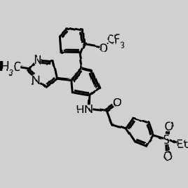 CCS(=O)(=O)c1ccc(CC(=O)Nc2ccc(-c3ccccc3OC(F)(F)F)c(-c3cnc(C)nc3)c2)cc1